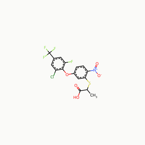 CC(Sc1cc(Oc2c(F)cc(C(F)(F)F)cc2Cl)ccc1[N+](=O)[O-])C(=O)O